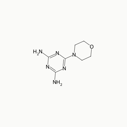 Nc1nc(N)nc(N2CCOCC2)n1